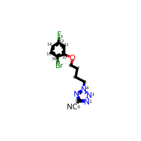 N#Cc1nnn(CCCCOc2cc(F)ccc2Br)n1